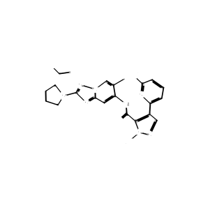 Cc1cccc(-c2cnn(C)c2C(=O)Nc2cc3nc(N4CCC[C@@H]4C(F)F)nn3cc2F)n1